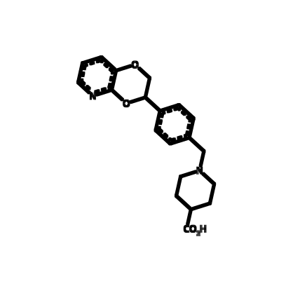 O=C(O)C1CCN(Cc2ccc(C3COc4cccnc4O3)cc2)CC1